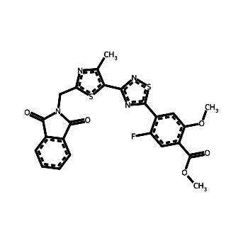 COC(=O)c1cc(F)c(-c2nc(-c3sc(CN4C(=O)c5ccccc5C4=O)nc3C)ns2)cc1OC